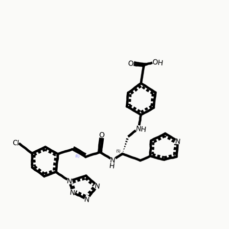 O=C(/C=C/c1cc(Cl)ccc1-n1cnnn1)N[C@H](CNc1ccc(C(=O)O)cc1)Cc1ccncc1